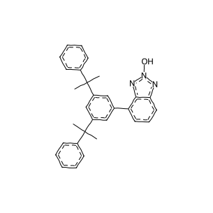 CC(C)(c1ccccc1)c1cc(-c2cccc3nn(O)nc23)cc(C(C)(C)c2ccccc2)c1